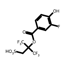 O=C(OC(CS(=O)(=O)O)(C(F)(F)F)C(F)(F)F)c1ccc(O)c(F)c1